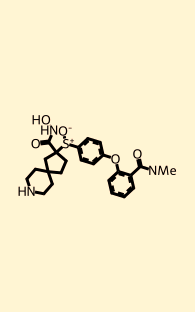 CNC(=O)c1ccccc1Oc1ccc([S+]([O-])C2(C(=O)NO)CCC3(CCNCC3)C2)cc1